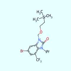 CC(C)n1c(=O)n(COCC[Si](C)(C)C)c2cc(Br)cc(C(F)(F)F)c21